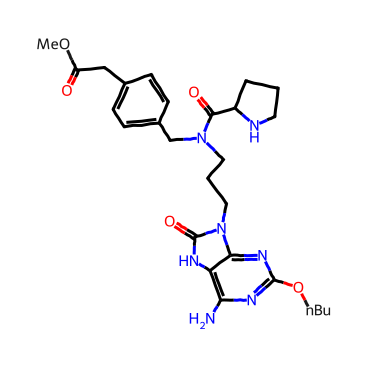 CCCCOc1nc(N)c2[nH]c(=O)n(CCCN(Cc3ccc(CC(=O)OC)cc3)C(=O)C3CCCN3)c2n1